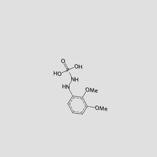 COc1cccc(NNP(=O)(O)O)c1OC